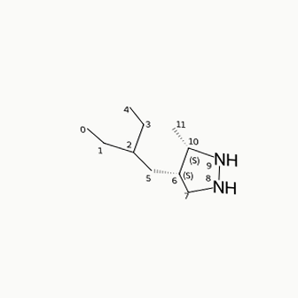 CCC(CC)C[C@H]1CNN[C@H]1C